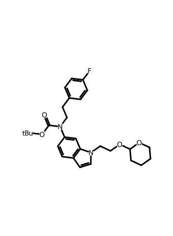 CC(C)(C)OC(=O)N(CCc1ccc(F)cc1)c1ccc2ccn(CCOC3CCCCO3)c2c1